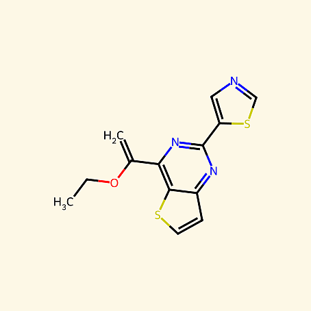 C=C(OCC)c1nc(-c2cncs2)nc2ccsc12